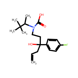 C=CCC(O)(CCN(C(=O)O)C(C)C(C)(C)C)c1ccc(F)cc1